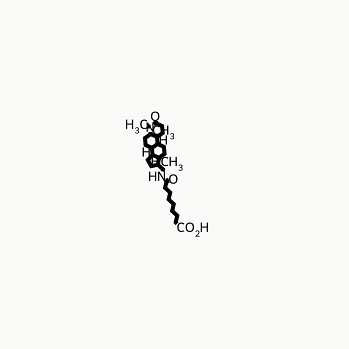 CN1C(=O)CC[C@@]2(C)C1CC[C@@H]1[C@H]2CC[C@]2(C)C(CNC(=O)CCCCCCCC(=O)O)CC[C@@H]12